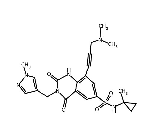 CN(C)CC#Cc1cc(S(=O)(=O)NC2(C)CC2)cc2c(=O)n(Cc3cnn(C)c3)c(=O)[nH]c12